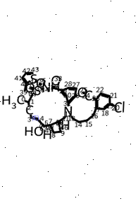 CC1C/C=C/[C@H](O)[C@@H]2CC[C@H]2CN2CCCCc3cc(Cl)ccc3COc3ccc(cc32)C(=O)NS(=O)(=O)[C@H]1Cc1cccs1